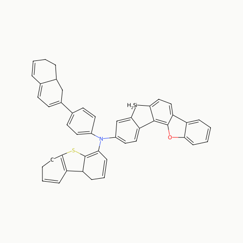 C1=CC2=C(CC1)SC1=C(N(c3ccc(C4=CC=C5C=CCCC5C4)cc3)c3ccc4c(c3)[SiH2]c3ccc5c(oc6ccccc65)c3-4)C=CCC21